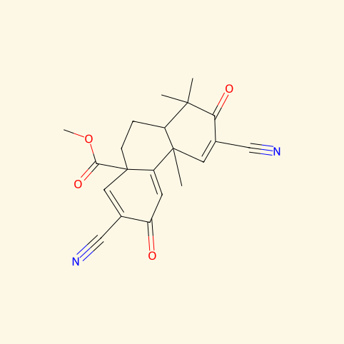 COC(=O)C12C=C(C#N)C(=O)C=C1C1(C)C=C(C#N)C(=O)C(C)(C)C1CC2